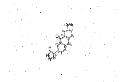 CSc1ccc2nc3ccc(-c4nnn[nH]4)cn3c(=O)c2c1